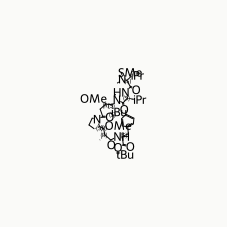 CC[C@H](C)[C@@H]([C@@H](CC(=O)N1CCC[C@H]1[C@H](OC)[C@@H](C)C(=O)N[C@@H](Cc1ccccc1)C(=O)OC(C)(C)C)OC)N(C)C(=O)[C@@H](NC(=O)[C@H](C(C)C)N(C)SC)C(C)C